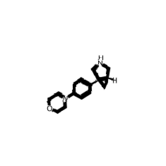 C1=CC(N2CCOCC2)CC=C1[C@@]12CNC[C@@H]1C2